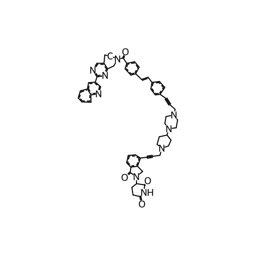 O=C1CCC(N2Cc3c(C#CCN4CCC(N5CCN(CC#Cc6ccc(/C=C/c7ccc(C(=O)N8CCc9cnc(-c%10cnc%11ccccc%11c%10)nc9C8)cc7)cc6)CC5)CC4)cccc3C2=O)C(=O)N1